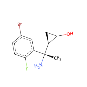 N[C@](c1cc(Br)ccc1F)([C@H]1CC1O)C(F)(F)F